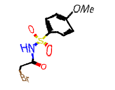 COc1ccc(S(=O)(=O)NC(=O)CBr)cc1